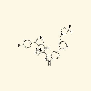 C=C(Nc1cncc(-c2ccc(F)cc2)c1N)c1n[nH]c2ccc(-c3cncc(CN4CCC(F)(F)C4)c3)cc12